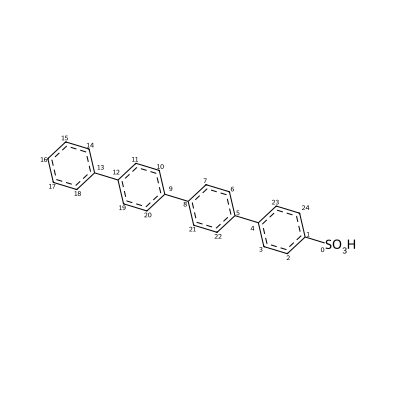 O=S(=O)(O)c1ccc(-c2ccc(-c3ccc(-c4ccccc4)cc3)cc2)cc1